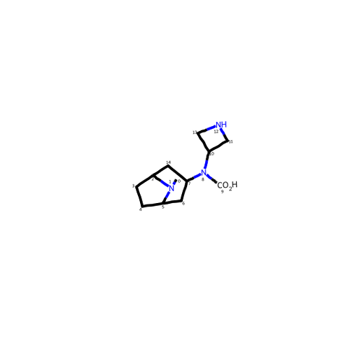 CN1C2CCC1CC(N(C(=O)O)C1CNC1)C2